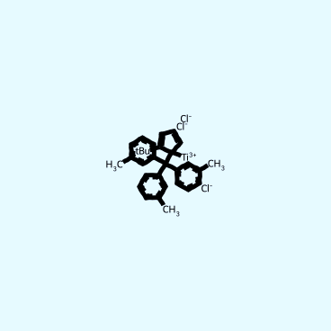 Cc1cccc(C(c2cccc(C)c2)(c2cccc(C)c2)[C]2([Ti+3])C=CC=C2C(C)(C)C)c1.[Cl-].[Cl-].[Cl-]